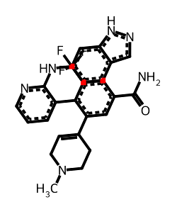 CN1CC=C(c2cc(C(N)=O)cc(C(F)(F)F)c2-c2cccnc2Nc2ccc3cn[nH]c3c2)CC1